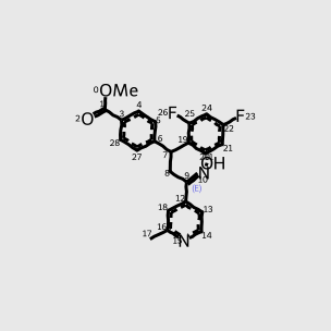 COC(=O)c1ccc(C(C/C(=N\O)c2ccnc(C)c2)c2ccc(F)cc2F)cc1